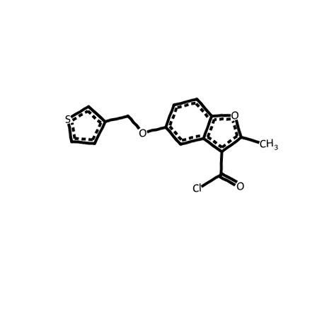 Cc1oc2ccc(OCc3ccsc3)cc2c1C(=O)Cl